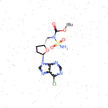 CC(C)(C)OC(=O)N(C[C@H]1[CH][CH][C@H](n2cnc3c(Cl)ncnc32)O1)S(N)(=O)=O